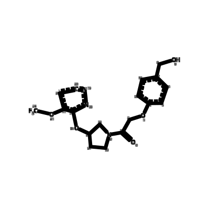 O=C(COc1ccc(CO)cc1)N1CCC(Oc2nnccc2OC(F)(F)F)C1